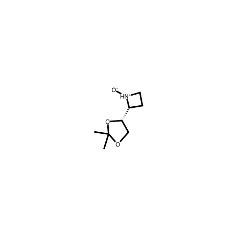 CC1(C)OC[C@@H](C2CC[NH+]2[O-])O1